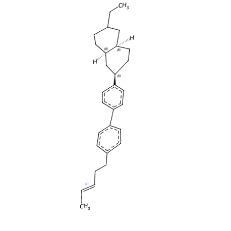 C/C=C/CCc1ccc(-c2ccc([C@@H]3CC[C@@H]4CC(CC)CC[C@@H]4C3)cc2)cc1